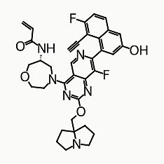 C#Cc1c(F)ccc2cc(O)cc(-c3ncc4c(N5CCOC[C@H](NC(=O)C=C)C5)nc(OCC56CCCN5CCC6)nc4c3F)c12